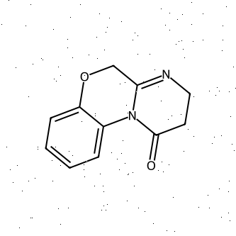 O=C1CCN=C2COc3ccccc3N12